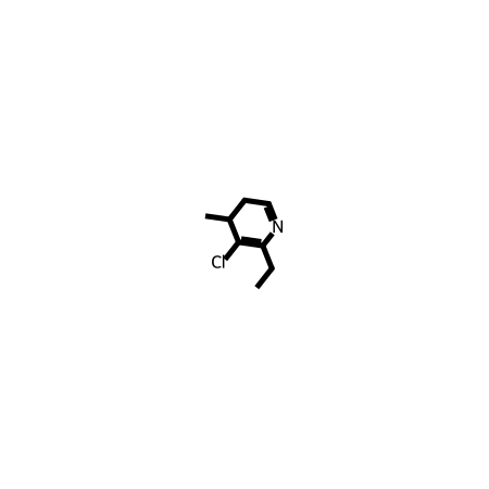 CCC1=C(Cl)C(C)CC=N1